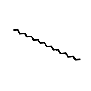 C=CCCCCCCCCCCCCCCCCCI